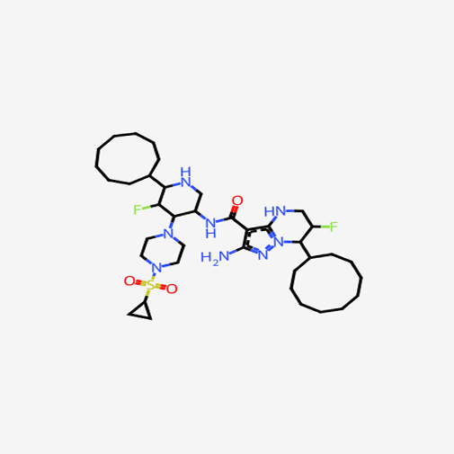 Nc1nn2c(c1C(=O)NC1CNC(C3CCCCCCCC3)C(F)C1N1CCN(S(=O)(=O)C3CC3)CC1)NCC(F)C2C1CCCCCCCCC1